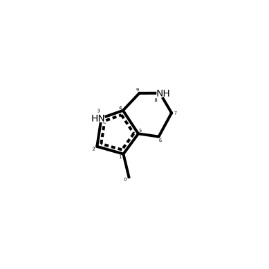 Cc1c[nH]c2c1CCNC2